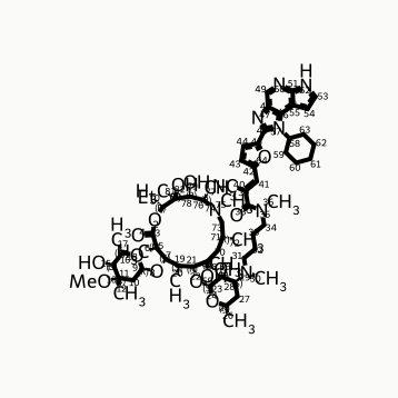 CC[C@H]1OC(=O)[C@H](C)[C@@H](O[C@H]2C[C@@](C)(OC)[C@@H](O)[C@H](C)O2)[C@H](C)[C@@H](O[C@@H]2O[C@H](C)C[C@H](N(C)CCCCN(C)C(=O)C(C#N)=Cc3ccc(-c4nc5cnc6[nH]ccc6c5n4C4CCCCC4)o3)[C@H]2O)[C@](C)(O)C[C@@H](C)CN(C)[C@H](C)[C@@H](O)[C@]1(C)O